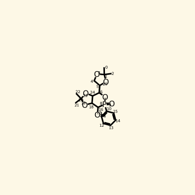 CC1(C)OCC(C2OP(=O)(c3ccccc3)C(O)C3OC(C)(C)OC23)O1